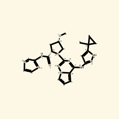 CO[C@H]1C[C@@H](C(=O)Nc2cnccn2)N(c2nc(Nc3cc(C4(C)CC4)[nH]n3)c3cccn3n2)C1